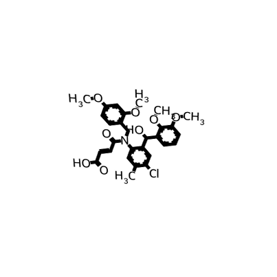 COc1ccc(CN(C(=O)/C=C/C(=O)O)c2cc(C)c(Cl)cc2C(O)c2cccc(OC)c2OC)c(OC)c1